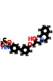 CS(=O)(=O)Nc1ccc(-c2cccc(OCC(O)CN3CCc4ccccc4C3)c2)cc1